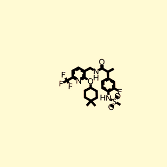 CC(C(=O)NCc1ccc(C(F)(F)F)nc1OC1CCC(C)(C)CC1)c1ccc(NS(C)(=O)=O)c(F)c1